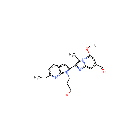 CCc1ccc2cc(-c3nc4cc(C=O)cc(OC)n4c3C)n(CCCO)c2n1